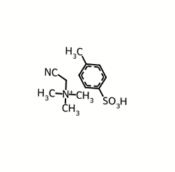 C[N+](C)(C)CC#N.Cc1ccc(S(=O)(=O)O)cc1